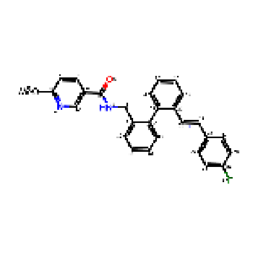 COc1ccc(C(=O)NCc2ccccc2-c2ccccc2/C=C/c2ccc(F)cc2)cn1